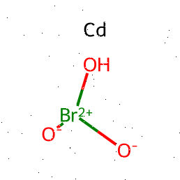 [Cd].[O-][Br+2]([O-])O